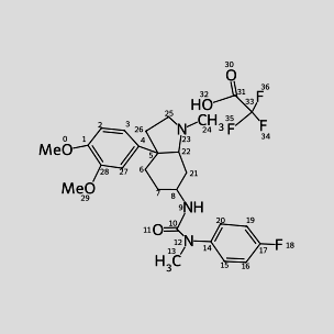 COc1ccc(C23CCC(NC(=O)N(C)c4ccc(F)cc4)CC2N(C)CC3)cc1OC.O=C(O)C(F)(F)F